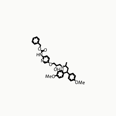 COc1ccc(C(CC(C)NC[C@H](O)COc2ccc(NC(=O)OCc3ccccc3)nc2)c2ccc(OC)cc2)cc1